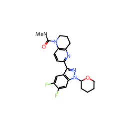 CNC(=O)N1CCCc2nc(-c3nn(C4CCCCO4)c4cc(F)c(F)cc34)ccc21